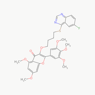 COc1cc(OC)c2c(=O)c(OCCCCSc3ncnc4ccc(F)cc34)c(-c3cc(OC)c(OC)c(OC)c3)oc2c1